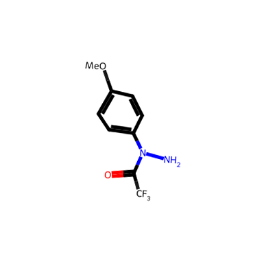 COc1ccc(N(N)C(=O)C(F)(F)F)cc1